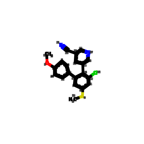 COc1ccc(-c2cc(SC)cc(Cl)c2-c2cncc(C#N)c2)cc1